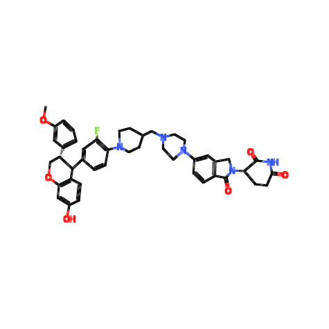 COc1cccc([C@H]2COc3cc(O)ccc3C2c2ccc(N3CCC(CN4CCN(c5ccc6c(c5)CN(C5CCC(=O)NC5=O)C6=O)CC4)CC3)c(F)c2)c1